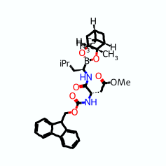 COC(=O)C[C@H](NC(=O)OCC1c2ccccc2-c2ccccc21)C(=O)N[C@@H](CC(C)C)B1O[C@@H]2C[C@@H]3C[C@@H](C3(C)C)[C@]2(C)O1